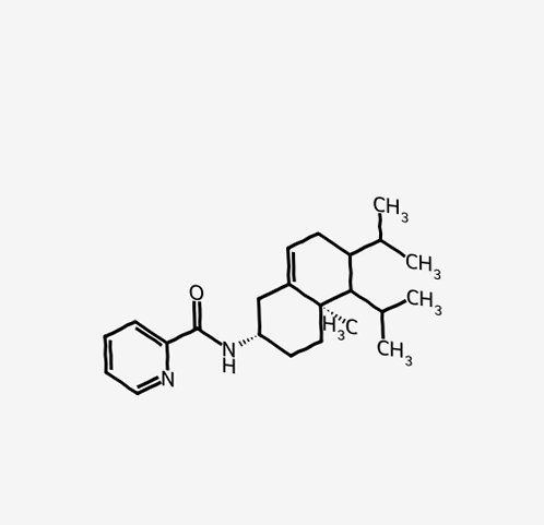 CC(C)C1CC=C2C[C@@H](NC(=O)c3ccccn3)CC[C@]2(C)C1C(C)C